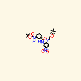 CC(C)(C)OC(=O)N[C@H]1CCC[C@@H](C(=O)Nc2cc([N+](=O)[O-])ccc2NCCO[Si](C)(C)C(C)(C)C)C1